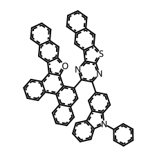 c1ccc(-n2c3ccccc3c3cc(-c4nc5sc6cc7ccccc7cc6c5nc4-c4cc5ccccc5c5c6ccccc6c6c7cc8ccccc8cc7oc6c45)ccc32)cc1